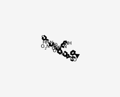 O=C(NS(=O)(=O)c1cnc(NCC2CCSCC2)c([N+](=O)[O-])c1)c1ccc(N2CCC3(CC2)CC(N2CCOC[C@H]2c2ccccc2C2CC2)C3)cc1Oc1cnc2[nH]ccc2c1